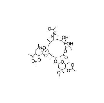 CC[C@H]1OC(=O)[C@H](C)[C@@H](O[C@H]2C[C@@](C)(OC)[C@@H](OC(C)=O)[C@H](C)O2)[C@H](C)[C@@H](O[C@@H]2O[C@H](C)C[C@H](N(C)C)[C@H]2OC(C)=O)[C@](C)(O)C[C@@H](C)/C(=N/OC(C)=O)[C@H](C)[C@@H](O)[C@]1(C)O